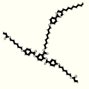 C=CC(=O)OCCCCCCOc1ccc(C(=O)Oc2ccc(OC(=O)c3ccc(OCCCCCCOC(=O)C=C)cc3)c(C(=O)OCCCCCCCCCOc3ccc(-c4ncc(CCCCCCCCC)cn4)cc3)c2)cc1